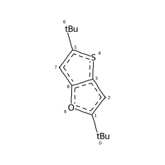 CC(C)(C)c1cc2sc(C(C)(C)C)cc2o1